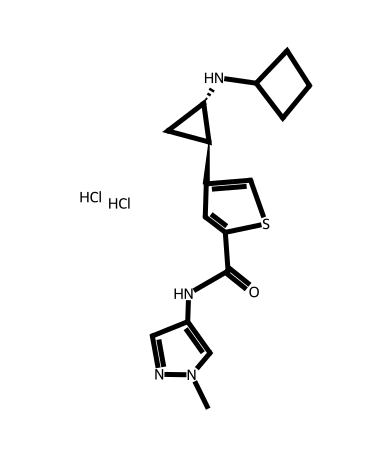 Cl.Cl.Cn1cc(NC(=O)c2cc([C@H]3C[C@@H]3NC3CCC3)cs2)cn1